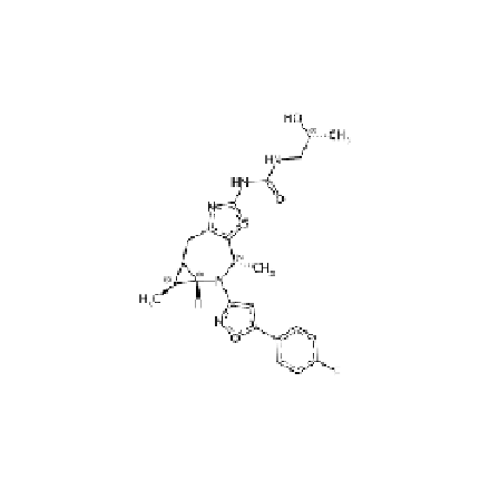 C[C@@H](O)CNC(=O)Nc1nc2c(s1)[C@H](C)N(c1cc(-c3ccc(F)cc3)on1)[C@H]1C(C2)[C@@H]1C